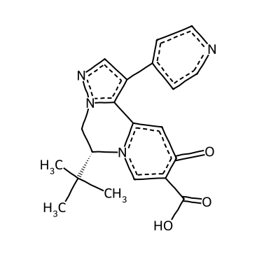 CC(C)(C)[C@@H]1Cn2ncc(-c3ccncc3)c2-c2cc(=O)c(C(=O)O)cn21